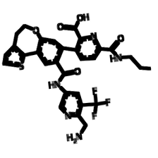 CCCNC(=O)c1ccc(-c2cc3c(cc2C(=O)Nc2cnc(CN)c(C(F)(F)F)c2)-c2sccc2CCO3)c(C(=O)O)n1